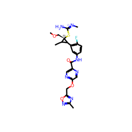 C/N=C(/N)S[C@@]1(COC)C(C)C1c1cc(NC(=O)c2cnc(OCc3nc(C)no3)cn2)ccc1F